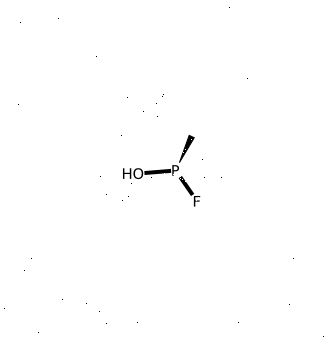 C[P@](O)F